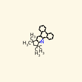 CC1(C)CC(C)(C)c2nc3c4ccccc4c4ccccc4c3cc21